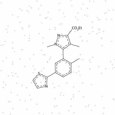 CCOC(=O)c1nn(C)c(-c2cc(-c3nccs3)ccc2C)c1C